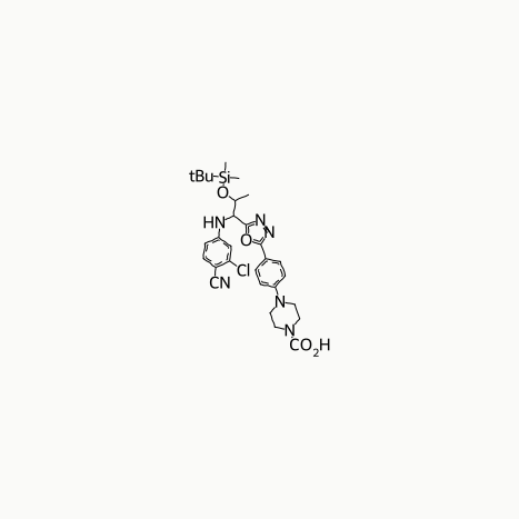 CC(O[Si](C)(C)C(C)(C)C)C(Nc1ccc(C#N)c(Cl)c1)c1nnc(-c2ccc(N3CCN(C(=O)O)CC3)cc2)o1